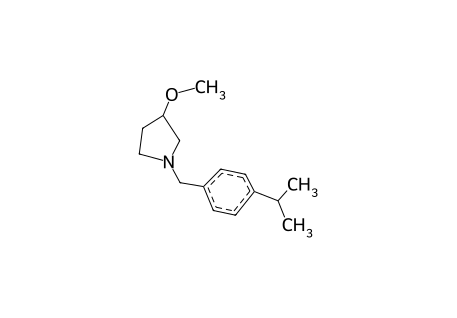 COC1CCN(Cc2ccc(C(C)C)cc2)C1